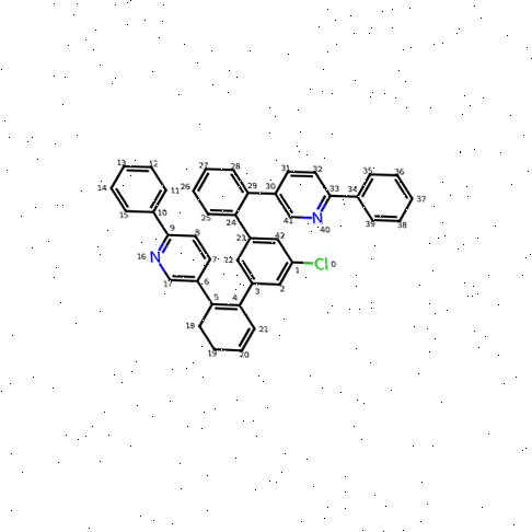 Clc1cc(C2=C(c3ccc(-c4ccccc4)nc3)CCC=C2)cc(-c2ccccc2-c2ccc(-c3ccccc3)nc2)c1